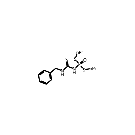 CCCSP(=O)(NC(=S)NCc1ccccc1)SCCC